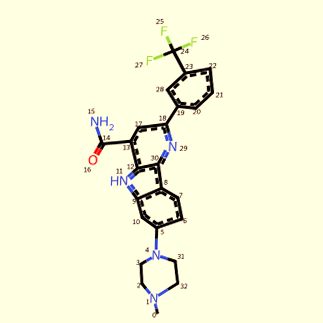 CN1CCN(c2ccc3c(c2)[nH]c2c(C(N)=O)cc(-c4cccc(C(F)(F)F)c4)nc23)CC1